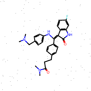 CN(C)Cc1ccc(NC(=C2C(=O)Nc3cc(F)ccc32)c2ccc(CCC(=O)N(C)C)cc2)cc1